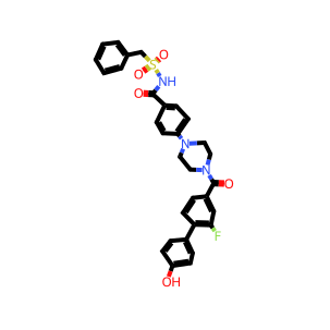 O=C(NS(=O)(=O)Cc1ccccc1)c1ccc(N2CCN(C(=O)c3ccc(-c4ccc(O)cc4)c(F)c3)CC2)cc1